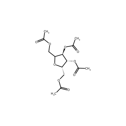 CC(=O)OCC1O[C@@H](COC(C)=O)[C@@H](OC(C)=O)[C@@H]1OC(C)=O